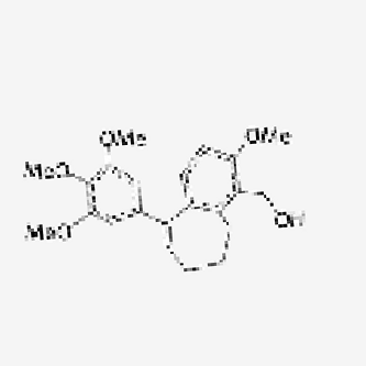 COc1ccc2c(c1CO)CCCC=C2c1cc(OC)c(OC)c(OC)c1